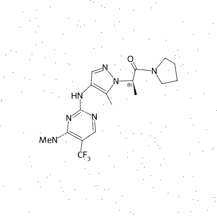 CNc1nc(Nc2cnn([C@H](C)C(=O)N3CCCC3)c2C)ncc1C(F)(F)F